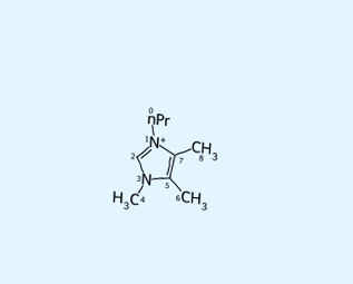 CCC[n+]1cn(C)c(C)c1C